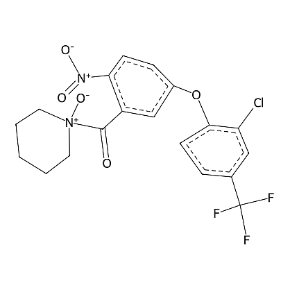 O=C(c1cc(Oc2ccc(C(F)(F)F)cc2Cl)ccc1[N+](=O)[O-])[N+]1([O-])CCCCC1